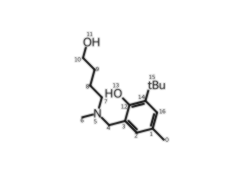 Cc1cc(CN(C)CCCCO)c(O)c(C(C)(C)C)c1